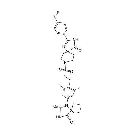 Cc1cc(N2C(=O)NC(=O)C23CCCC3)cc(C)c1CCS(=O)(=O)N1CCC2(CC1)N=C(c1ccc(OF)cc1)NC2=O